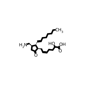 CCCCCC/C=C/[C@H]1[C@H](CN)CC(=O)[C@@H]1C/C=C\CCC(O)C(=O)O